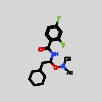 CC(=O)N(C#N)OC(CC1CCCCC1)NC(=O)c1ccc(F)cc1F